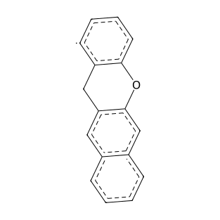 [c]1cccc2c1Cc1cc3ccccc3cc1O2